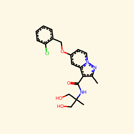 Cc1nn2ccc(OCc3ccccc3Cl)cc2c1C(=O)NC(C)(CO)CO